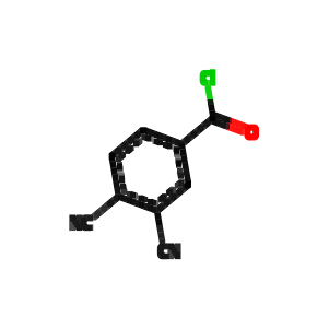 N#Cc1ccc(C(=O)Cl)cc1C#N